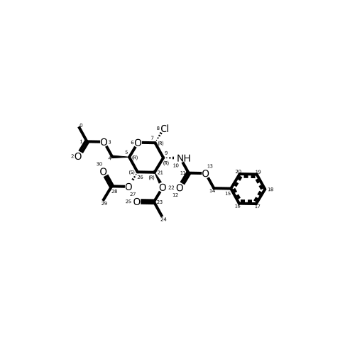 CC(=O)OC[C@H]1O[C@H](Cl)[C@H](NC(=O)OCc2ccccc2)[C@@H](OC(C)=O)[C@@H]1OC(C)=O